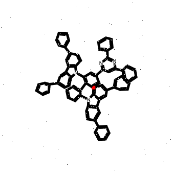 c1ccc(-c2ccc3c(c2)c2cc(-c4ccccc4)ccc2n3-c2ccccc2-c2ccc(-c3cc(-c4ccccc4)nc(-c4ccccc4)n3)cc2-n2c3ccc(-c4ccccc4)cc3c3cc(-c4ccccc4)ccc32)cc1